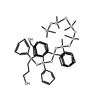 C[Si](C)(C)O[Si](C)(C)O[Si](C)(C)O[Si](C)(C)O[Si](C)(O[Si](O[Si](O[Si](CCCO)(CCCO)c1ccccc1)(c1ccccc1)c1ccccc1)(c1ccccc1)c1ccccc1)c1ccccc1